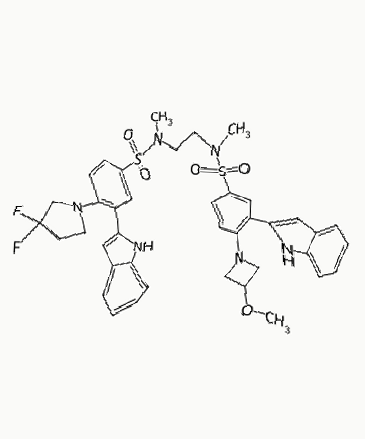 COC1CN(c2ccc(S(=O)(=O)N(C)CCN(C)S(=O)(=O)c3ccc(N4CCC(F)(F)C4)c(-c4cc5ccccc5[nH]4)c3)cc2-c2cc3ccccc3[nH]2)C1